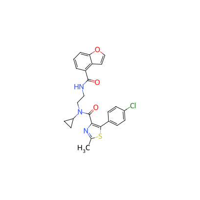 Cc1nc(C(=O)N(CCNC(=O)c2cccc3occc23)C2CC2)c(-c2ccc(Cl)cc2)s1